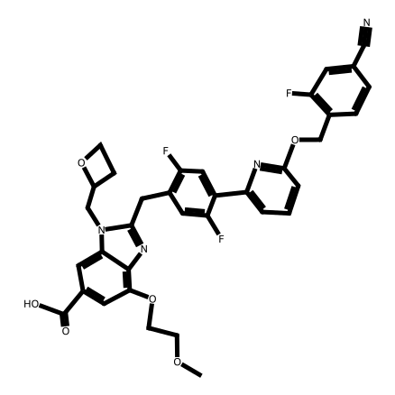 COCCOc1cc(C(=O)O)cc2c1nc(Cc1cc(F)c(-c3cccc(OCc4ccc(C#N)cc4F)n3)cc1F)n2CC1CCO1